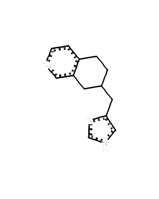 c1cc2c(cn1)CC(Cc1c[nH]cn1)CC2